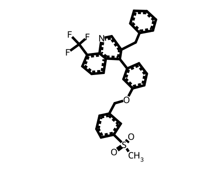 CS(=O)(=O)c1cccc(COc2cccc(-c3c(Cc4ccccc4)cnc4c(C(F)(F)F)cccc34)c2)c1